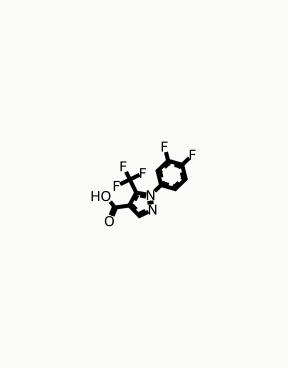 O=C(O)c1cnn(-c2ccc(F)c(F)c2)c1C(F)(F)F